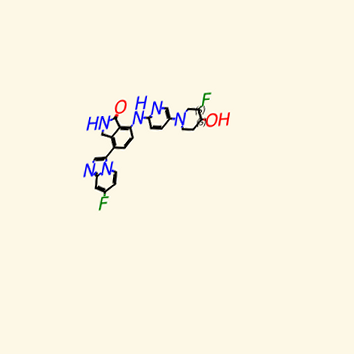 O=C1NCc2c(-c3cnc4cc(F)ccn34)ccc(Nc3ccc(N4CC[C@H](O)[C@@H](F)C4)cn3)c21